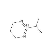 CC(C)[SH]1=NCCCN=1